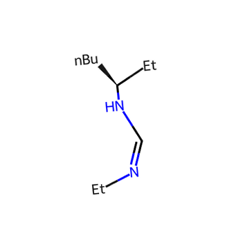 CCCC[C@@H](CC)N/C=N\CC